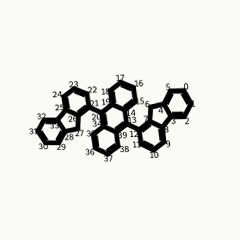 c1ccc2c(c1)Cc1c-2cccc1-c1c2ccccc2c(-c2cccc3c2Cc2ccccc2-3)c2ccccc12